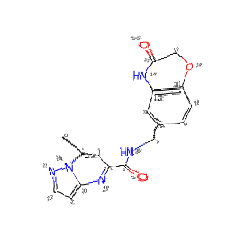 Cc1cc(C(=O)NCc2ccc3c(c2)NC(=O)CO3)nc2ccnn12